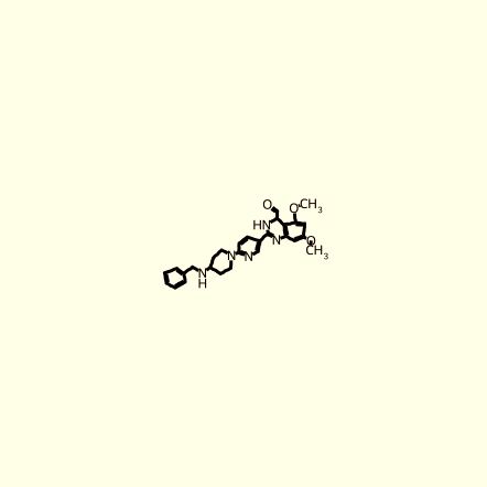 COc1cc2c(c(OC)c1)C(C=O)NC(c1ccc(N3CCC(NCc4ccccc4)CC3)nc1)=N2